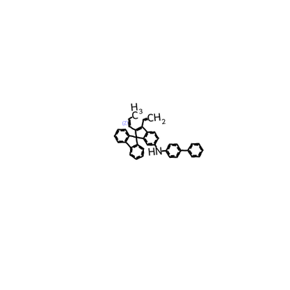 C=CC1=C(/C=C\C)C2(c3cc(Nc4ccc(-c5ccccc5)cc4)ccc31)c1ccccc1-c1ccccc12